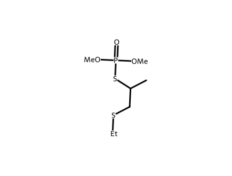 CCSCC(C)SP(=O)(OC)OC